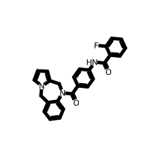 O=C(Nc1ccc(C(=O)N2Cc3cccn3Cc3ccccc32)cc1)c1ccccc1F